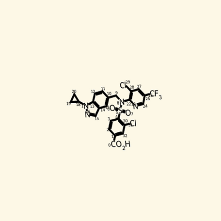 O=C(O)c1ccc(S(=O)(=O)N(Cc2ccc3c(cnn3C3CC3)c2)c2ncc(C(F)(F)F)cc2Cl)c(Cl)c1